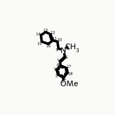 COc1ccc(C=CN(C)CCC2=CCCCC2)cc1